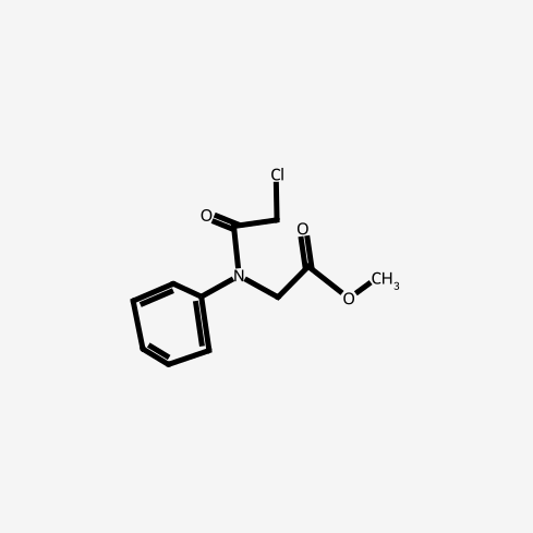 COC(=O)CN(C(=O)CCl)c1ccccc1